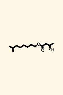 CC(C)CCCCCCOC(=O)CC(C)S